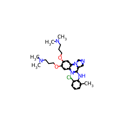 Cc1cccc(Cl)c1Nc1nc2cc(OCCCN(C)C)c(OCCCN(C)C)cc2n2cncc12